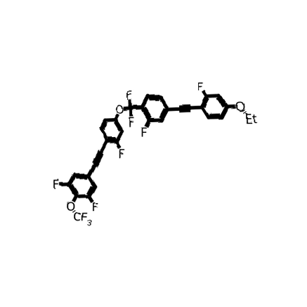 CCOc1ccc(C#Cc2ccc(C(F)(F)Oc3ccc(C#Cc4cc(F)c(OC(F)(F)F)c(F)c4)c(F)c3)c(F)c2)c(F)c1